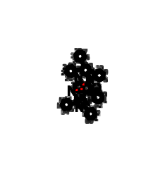 N#Cc1cc(-n2c3ccccc3c3cc(-c4ccccc4)c4c5ccccc5n(-c5ccccc5)c4c32)c2oc3ccccc3c2c1-c1nc(-c2ccccc2)nc(-c2ccccc2)n1